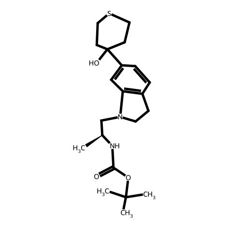 C[C@@H](CN1CCc2ccc(C3(O)CCSCC3)cc21)NC(=O)OC(C)(C)C